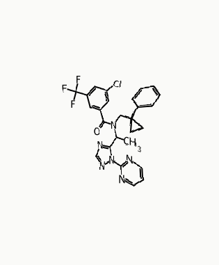 CC(c1ncnn1-c1ncccn1)N(CC1(c2ccccc2)CC1)C(=O)c1cc(Cl)cc(C(F)(F)F)c1